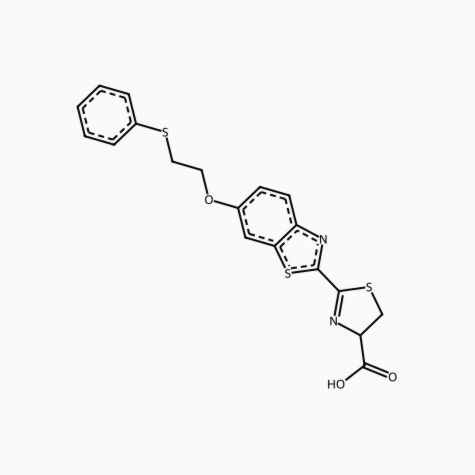 O=C(O)C1CSC(c2nc3ccc(OCCSc4ccccc4)cc3s2)=N1